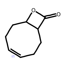 O=C1OC2CC/C=C\CCC12